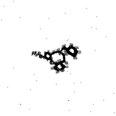 COc1ccc2c(c1)Oc1ccccc1CCN(Cc1ccccc1)CC2